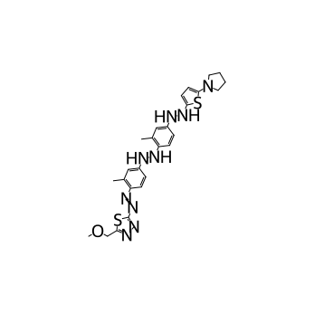 COCc1nnc(/N=N/c2ccc(NNc3ccc(NNc4ccc(N5CCCC5)s4)cc3C)cc2C)s1